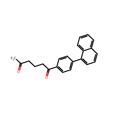 O=C(CCCC(=O)C(F)(F)F)c1ccc(-c2cccc3ccccc23)cc1